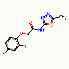 Cc1nnc(NC(=O)COc2ccc(F)cc2Cl)o1